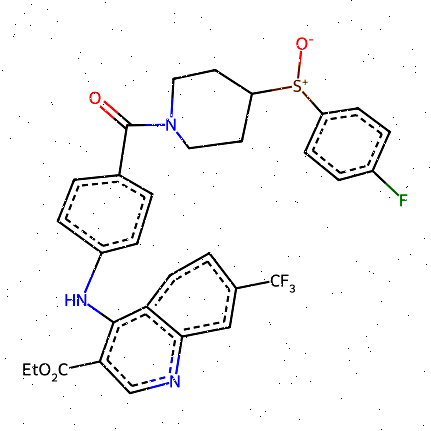 CCOC(=O)c1cnc2cc(C(F)(F)F)ccc2c1Nc1ccc(C(=O)N2CCC([S+]([O-])c3ccc(F)cc3)CC2)cc1